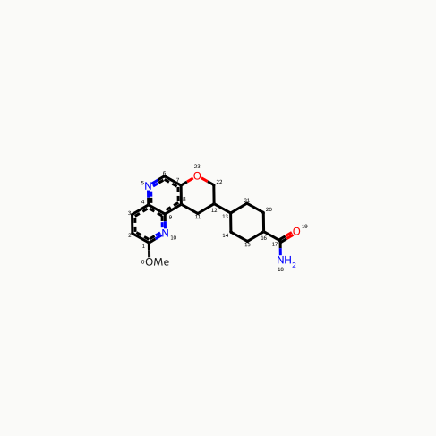 COc1ccc2ncc3c(c2n1)CC(C1CCC(C(N)=O)CC1)CO3